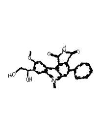 COc1cc2c3c4c(c(-c5ccccc5)cc3n(C)c2cc1C(O)CO)C(=O)NC4=O